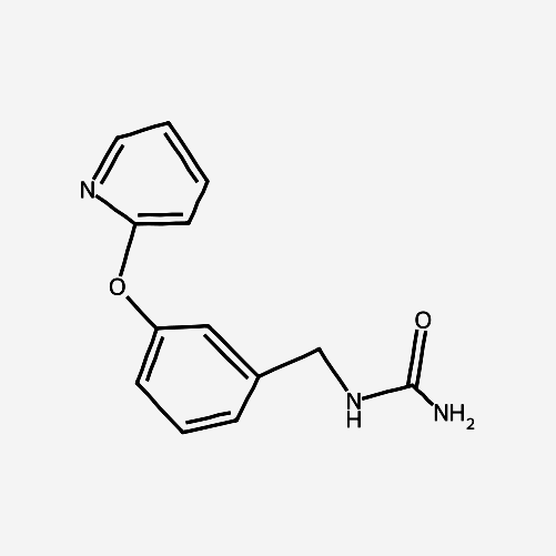 NC(=O)NCc1cccc(Oc2ccccn2)c1